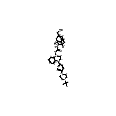 CC(C)(C)N1CCN(c2ccc(N3CCN(OC(=O)NC4[C@@H]5CC6C[C@H]4CC(CO)(C6)C5)c4ccccc43)nc2)CC1